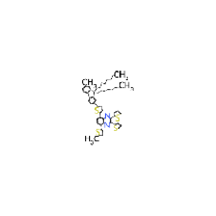 CCCCCCCCC1(CCCCCCCC)c2cc(C)ccc2-c2ccc(-c3ccc(-c4ccc(-c5ccc(C)s5)c5nc(-c6cccs6)c(-c6cccs6)nc45)s3)cc21